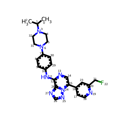 CC(C)N1CCN(c2ccc(Nc3ncc(-c4ccnc(CF)c4)n4ncnc34)cc2)CC1